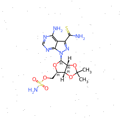 CC1(C)O[C@@H]2[C@H](O1)[C@@H](COS(N)(=O)=O)O[C@H]2n1nc(C(N)=S)c2c(N)ncnc21